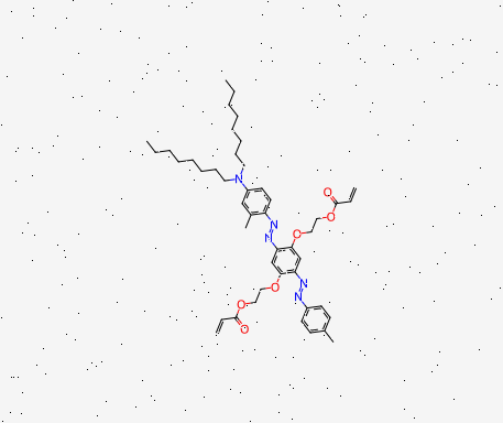 C=CC(=O)OCCOc1cc(/N=N/c2ccc(N(CCCCCCCC)CCCCCCCC)cc2C)c(OCCOC(=O)C=C)cc1/N=N/c1ccc(C)cc1